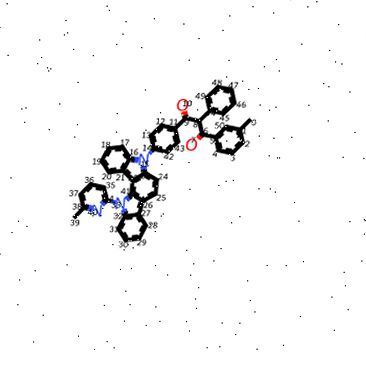 Cc1cccc(C(=O)C(C(=O)c2ccc(-n3c4ccccc4c4c3ccc3c5ccccc5n(-c5cccc(C)n5)c34)cc2)c2ccccc2)c1